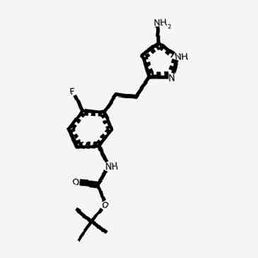 CC(C)(C)OC(=O)Nc1ccc(F)c(CCc2cc(N)[nH]n2)c1